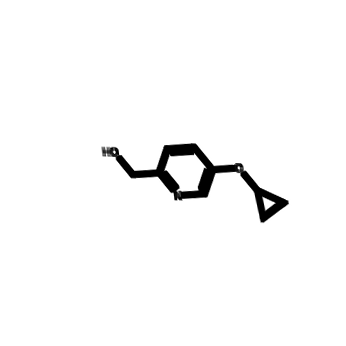 OCc1ccc(OC2CC2)cn1